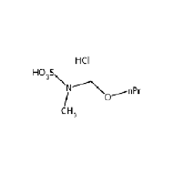 CCCOCN(C)S(=O)(=O)O.Cl